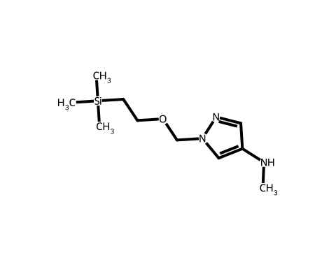 CNc1cnn(COCC[Si](C)(C)C)c1